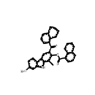 COc1ccc2c(c1)[nH]c1c(C)c(OC(=O)c3cccc4ccccc34)c(C(=O)c3cccc4ccccc34)cc12